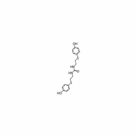 O=C(NCCSc1ccc(O)cc1)NCCSc1ccc(O)cc1